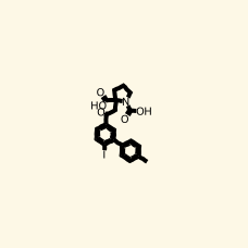 Cc1ccc(-c2cc(C(=O)CC3(C(=O)O)CCCN3C(=O)O)ccc2I)cc1